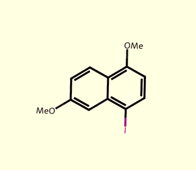 COc1ccc2c(OC)ccc(I)c2c1